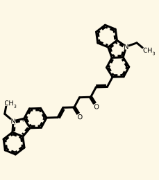 CCn1c2ccccc2c2cc(C=CC(=O)CC(=O)C=Cc3ccc4c(c3)c3ccccc3n4CC)ccc21